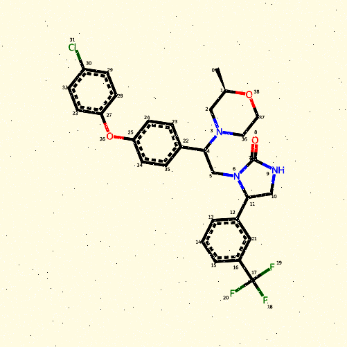 C[C@@H]1CN(C(CN2C(=O)NCC2c2cccc(C(F)(F)F)c2)c2ccc(Oc3ccc(Cl)cc3)cc2)CCO1